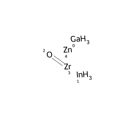 [GaH3].[InH3].[O]=[Zr].[Zn]